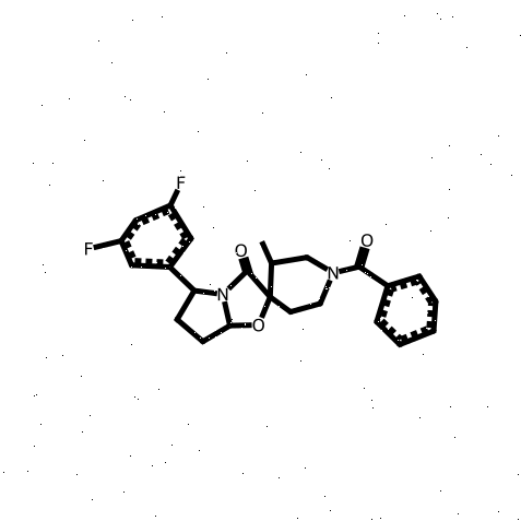 CC1CN(C(=O)c2ccccc2)CCC12OC1CCC(c3cc(F)cc(F)c3)N1C2=O